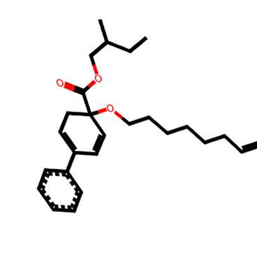 C=CCCCCCCOC1(C(=O)OCC(C)CC)C=CC(c2ccccc2)=CC1